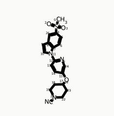 CS(=O)(=O)c1ccc2c(ccn2-c2ccc(OC3CCN(C#N)CC3)cn2)c1